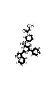 O=C(CO)N1CCC[C@@H](Nc2nc(-c3cnn4ccccc34)nc(-c3ccncc3)c2F)C1